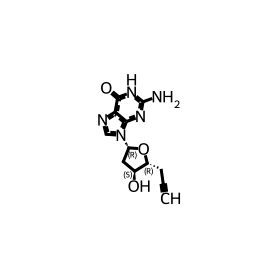 C#CC[C@H]1O[C@@H](n2cnc3c(=O)[nH]c(N)nc32)C[C@@H]1O